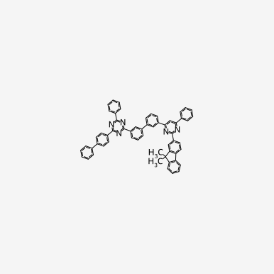 CC1(C)c2ccccc2-c2ccc(-c3nc(-c4ccccc4)cc(-c4cccc(-c5cccc(-c6nc(-c7ccccc7)nc(-c7ccc(-c8ccccc8)cc7)n6)c5)c4)n3)cc21